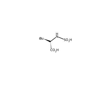 CC[C@H](C)[C@H](NS(=O)(=O)O)C(=O)O